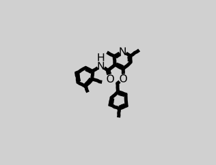 Cc1ccc(COc2cc(C)nc(C)c2C(=O)Nc2cccc(C)c2C)cc1